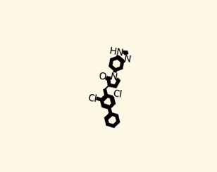 O=C1[C@H](Cc2c(Cl)cc(C3=CCCCC3)cc2Cl)CCN1C1CCc2[nH]cnc2C1